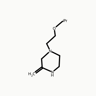 C=C1CN(CCOC(C)C)CCN1